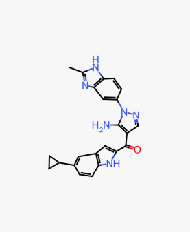 Cc1nc2cc(-n3ncc(C(=O)c4cc5cc(C6CC6)ccc5[nH]4)c3N)ccc2[nH]1